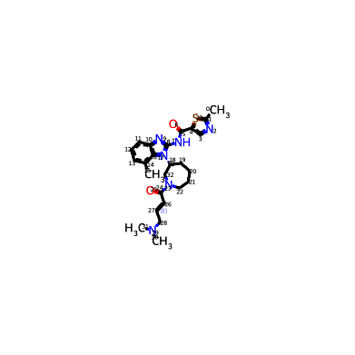 Cc1ncc(C(=O)Nc2nc3cccc(C)c3n2[C@@H]2CCCCN(C(=O)/C=C/CN(C)C)C2)s1